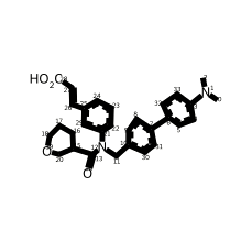 CN(C)c1ccc(-c2ccc(CN(C(=O)C3CCCOC3)c3cccc(C=CC(=O)O)c3)cc2)cc1